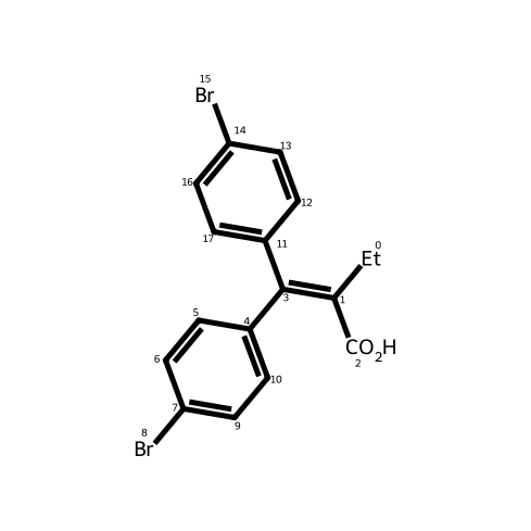 CCC(C(=O)O)=C(c1ccc(Br)cc1)c1ccc(Br)cc1